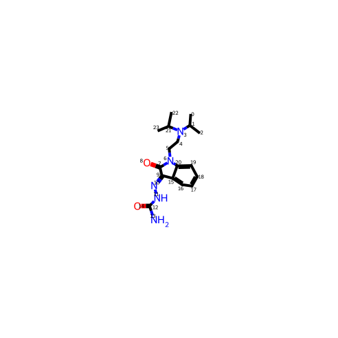 CC(C)N(CCN1C(=O)/C(=N/NC(N)=O)c2ccccc21)C(C)C